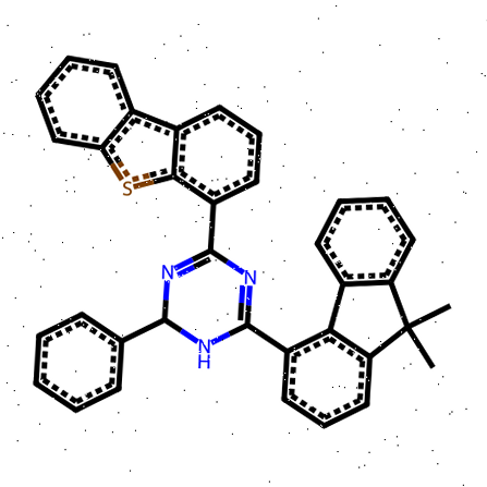 CC1(C)c2ccccc2-c2c(C3=NC(c4cccc5c4sc4ccccc45)=NC(c4ccccc4)N3)cccc21